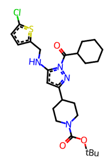 CC(C)(C)OC(=O)N1CCC(c2cc(NCc3ccc(Cl)s3)n(C(=O)C3CCCCC3)n2)CC1